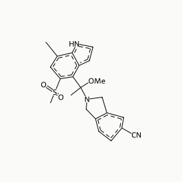 COC(C)(c1c(S(C)(=O)=O)cc(C)c2[nH]ccc12)N1Cc2ccc(C#N)cc2C1